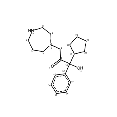 O=C(CN1CCCNCC1)C(O)(c1ccccc1)C1CCCC1